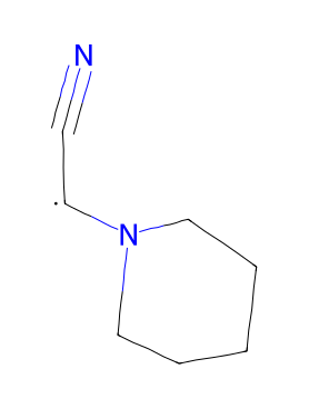 N#C[CH]N1CCCCC1